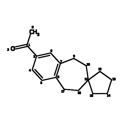 CC(=O)c1ccc2c(c1)CCC1(CCCC1)CC2